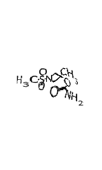 CC1(OC(N)=O)CN(S(C)(=O)=O)C1